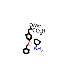 COC(Cc1ccc(OCc2ccccc2)cc1)C(=O)O.NC1CCCCC1